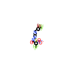 O=c1nc(N2CC3CN(Cc4ccc(C(F)(F)F)c(Br)c4)CC3C2)sc2c([N+](=O)[O-])cc(C(F)(F)F)cc12